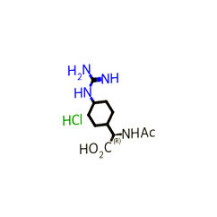 CC(=O)N[C@@H](C(=O)O)C1CCC(NC(=N)N)CC1.Cl